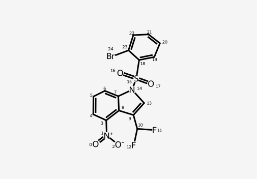 O=[N+]([O-])c1cccc2c1c(C(F)F)cn2S(=O)(=O)c1ccccc1Br